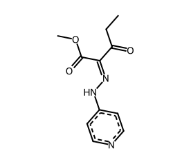 CCC(=O)C(=NNc1ccncc1)C(=O)OC